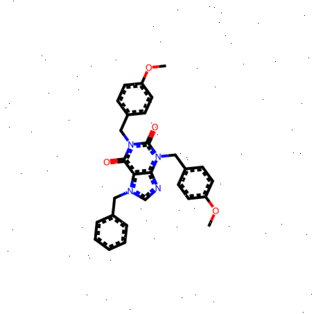 COc1ccc(Cn2c(=O)c3c(ncn3Cc3ccccc3)n(Cc3ccc(OC)cc3)c2=O)cc1